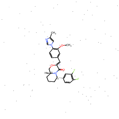 COc1cc(/C=C2\OC[C@H]3CCC[C@@H](c4ccc(F)c(F)c4)N3C2=O)ccc1-n1cnc(C)c1